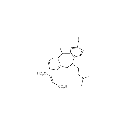 CC1c2ccccc2CC(CCN(C)C)c2ccc(F)cc21.O=C(O)C=CC(=O)O